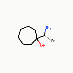 CC(C)[C@@H](N)C1(O)CCCCCC1